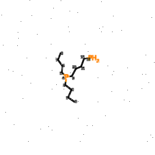 CCCCP(CCCC)CCCCP